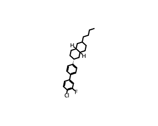 CCCCC1CC[C@@H]2C[C@H](c3ccc(-c4ccc(Cl)c(F)c4)cc3)CC[C@@H]2C1